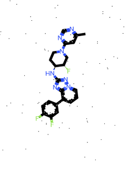 Cc1cc(N2CC[C@@H](Nc3nc4c(-c5ccc(F)c(F)c5)cccn4n3)[C@@H](F)C2)ncn1